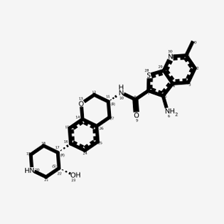 Cc1ccc2c(N)c(C(=O)N[C@H]3COc4cc([C@H]5CCNC[C@H]5O)ccc4C3)sc2n1